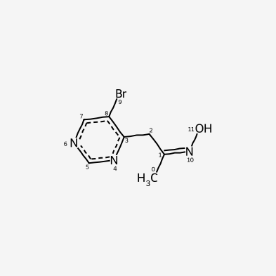 C/C(Cc1ncncc1Br)=N/O